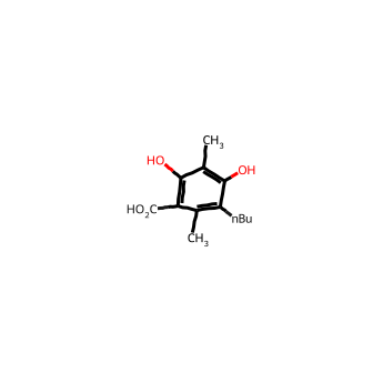 CCCCc1c(C)c(C(=O)O)c(O)c(C)c1O